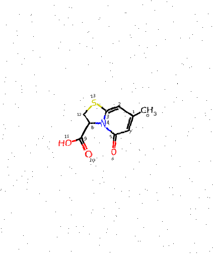 Cc1cc2n(c(=O)c1)C(C(=O)O)CS2